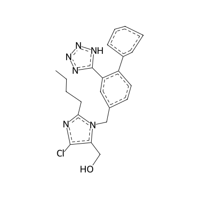 CCCCc1nc(Cl)c(CO)n1Cc1ccc(-c2ccccc2)c(-c2nnn[nH]2)c1